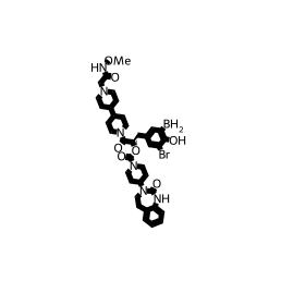 Bc1cc(C[C@@H](OC(=O)N2CCC(N3CCc4ccccc4NC3=O)CC2)C(=O)N2CCC(C3CCN(CC(=O)NOC)CC3)CC2)cc(Br)c1O